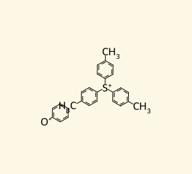 Cc1ccc([S+](c2ccc(C)cc2)c2ccc(C)cc2)cc1.[O-]c1ccccc1